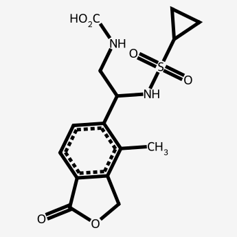 Cc1c(C(CNC(=O)O)NS(=O)(=O)C2CC2)ccc2c1COC2=O